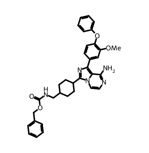 COc1cc(-c2nc(C3CCC(CNC(=O)OCc4ccccc4)CC3)n3ccnc(N)c23)ccc1Oc1ccccc1